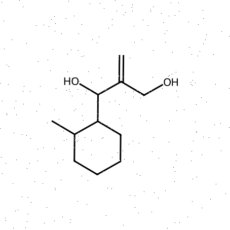 C=C(CO)C(O)C1CCCCC1C